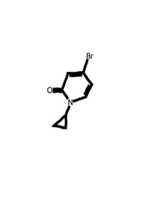 O=c1cc(Br)ccn1C1CC1